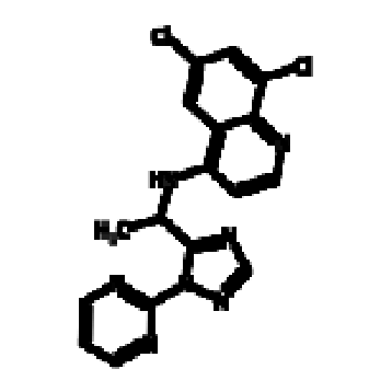 CC(Nc1ccnc2c(Cl)cc(Cl)cc12)c1ncnn1-c1ncccn1